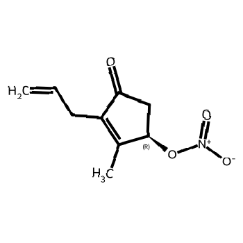 C=CCC1=C(C)[C@H](O[N+](=O)[O-])CC1=O